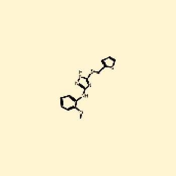 COc1ccccc1Nc1n[nH]c(SCc2cccs2)n1